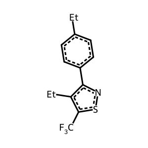 CCc1ccc(-c2nsc(C(F)(F)F)c2CC)cc1